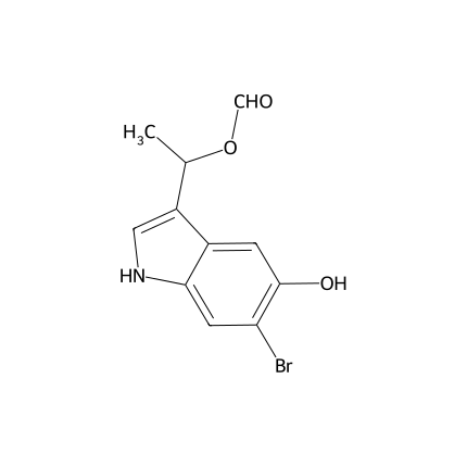 CC(OC=O)c1c[nH]c2cc(Br)c(O)cc12